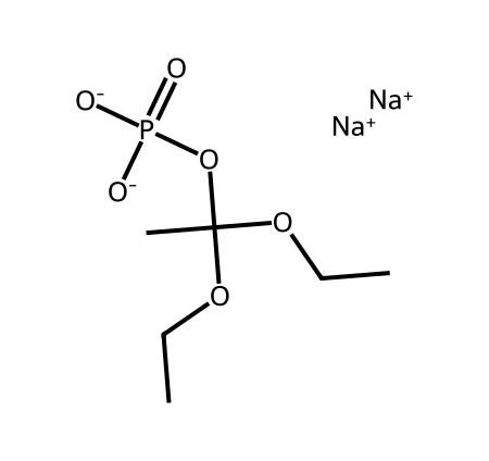 CCOC(C)(OCC)OP(=O)([O-])[O-].[Na+].[Na+]